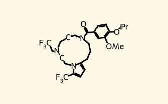 COc1cc(C(=O)N2CCCc3ccc(C(F)(F)F)n3CCN(CC(F)(F)F)CCC2)ccc1OC(C)C